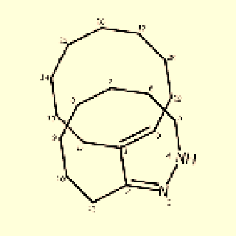 C1=C(/C2=N\NCCCCCCC2)CCCCCCCC/1